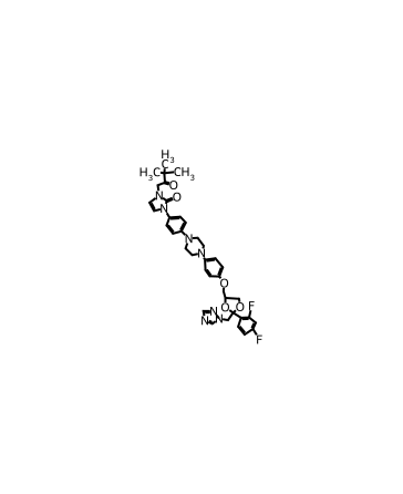 CC(C)(C)C(=O)Cn1ccn(-c2ccc(N3CCN(c4ccc(OCC5COC(Cn6cncn6)(c6ccc(F)cc6F)O5)cc4)CC3)cc2)c1=O